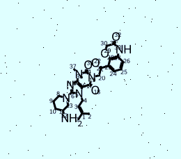 CC(C)=CCn1c(N2CCCC(N)C2)nc2c1c(=O)n(CC(=O)c1cccc3c1OCC(=O)N3)c(=O)n2C